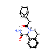 NC(=O)C1c2cc[c]cc2CCN1C(=O)CC1CC2CCC1C2